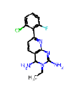 CCN1C(N)=Nc2nc(-c3c(F)cccc3Cl)ccc2C1N